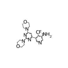 Nc1cncc(-c2cc(N3CCOCC3)nc(N3CCOCC3)n2)c1C(F)(F)F